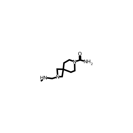 CNCN1CC2(CCN(C(N)=O)CC2)C1